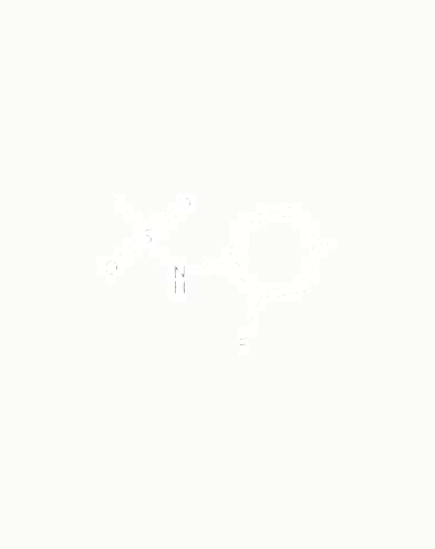 CS(=O)(=O)Nc1cc[c]cc1F